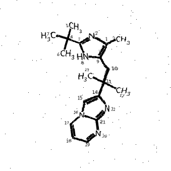 Cc1nc(C(C)(C)C)[nH]c1CC(C)(C)c1cn2cccnc2n1